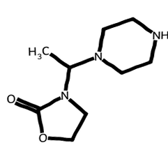 CC(N1CCNCC1)N1CCOC1=O